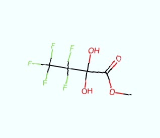 COC(=O)C(O)(O)C(F)(F)C(F)(F)F